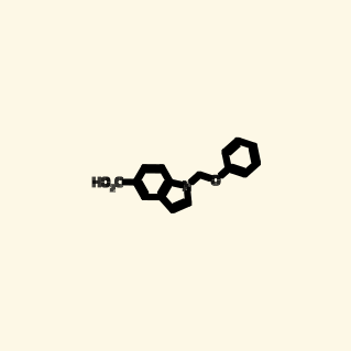 O=C(O)c1ccc2c(ccn2COc2ccccc2)c1